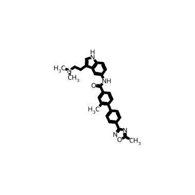 Cc1nc(-c2ccc(-c3ccc(C(=O)Nc4ccc5[nH]cc(CCN(C)C)c5c4)cc3C)cc2)no1